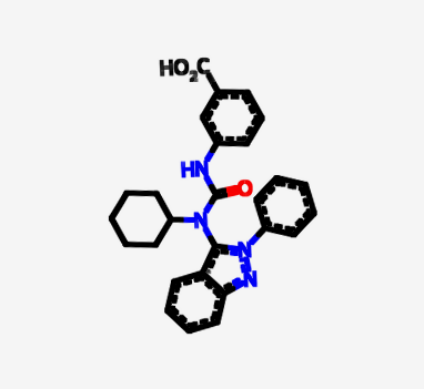 O=C(O)c1cccc(NC(=O)N(c2c3ccccc3nn2-c2ccccc2)C2CCCCC2)c1